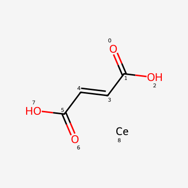 O=C(O)/C=C/C(=O)O.[Ce]